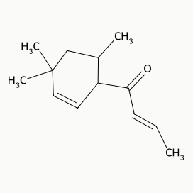 CC=CC(=O)C1C=CC(C)(C)CC1C